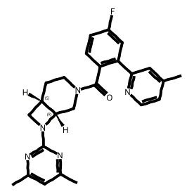 Cc1ccnc(-c2cc(F)ccc2C(=O)N2CC[C@H]3CN(c4nc(C)cc(C)n4)[C@H]3C2)c1